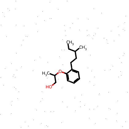 CCC(C)CCc1ccccc1OC(C)CO